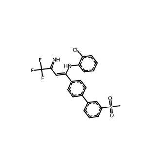 CS(=O)(=O)c1cccc(-c2ccc(/C(=C/C(=N)C(F)(F)F)Nc3ccccc3Cl)cc2)c1